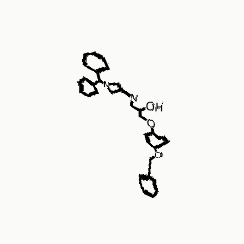 OC(CN=C1CN(C(c2ccccc2)c2ccccc2)C1)COc1ccc(OCc2ccccc2)cc1